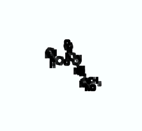 Cn1c(Cn2cnc(-c3cnc4cc(N5CCOCC5)nc(O[C@H]5CC[C@@H](Nc6ncccn6)CC5)c4c3)n2)cnc1N=O